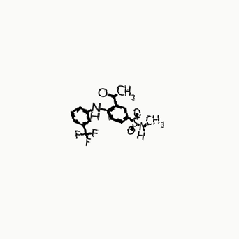 CNS(=O)(=O)c1ccc(Nc2cccc(C(F)(F)F)c2)c(C(C)=O)c1